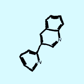 c1ccc(-c2cnc3ccccc3c2)nc1